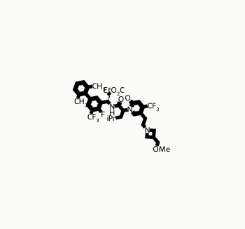 CCOC(=O)C[C@H](NC(=O)C(CC(C)C)n1cc(CCN2CC(COC)C2)c(C(F)(F)F)cc1=O)c1cc(-c2c(C)cccc2C)cc(C(F)(F)F)c1F